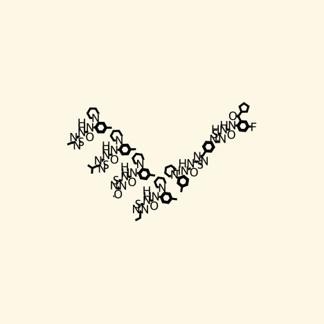 CCc1nsc(NC(=O)Nc2ccc(C)cc2N2CCCCC2)n1.COc1nsc(NC(=O)Nc2ccc(C)cc2N2CCCCC2)n1.Cc1ccc(NC(=O)Nc2nc(-c3ccccc3)ns2)c(N2CCCCC2)c1.Cc1ccc(NC(=O)Nc2nc(C(C)C)ns2)c(N2CCCCC2)c1.Cc1ccc(NC(=O)Nc2nc(C)ns2)c(N2CCCCC2)c1.O=C(Nc1ncns1)Nc1ccc(F)cc1C(=O)C1CCCC1